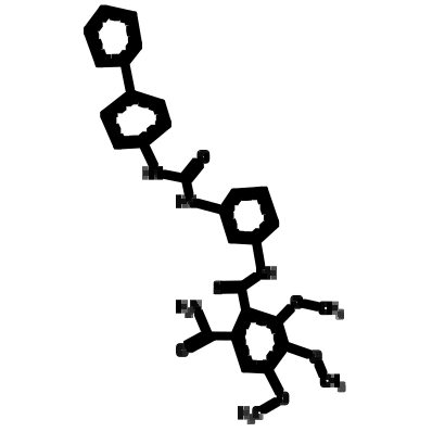 COc1cc(C(N)=O)c(C(=S)Nc2cccc(NC(=O)Nc3ccc(-c4ccccc4)cc3)c2)c(OC)c1OC